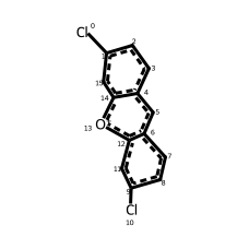 Clc1ccc2cc3ccc(Cl)cc3[o+]c2c1